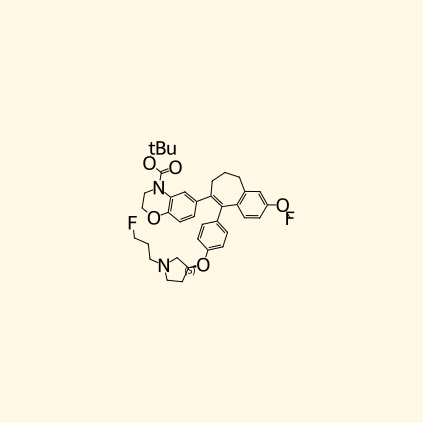 CC(C)(C)OC(=O)N1CCOc2ccc(C3=C(c4ccc(O[C@H]5CCN(CCCF)C5)cc4)c4ccc(OF)cc4CCC3)cc21